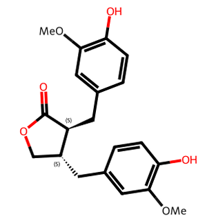 COc1cc(C[C@@H]2COC(=O)[C@H]2Cc2ccc(O)c(OC)c2)ccc1O